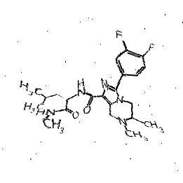 CNC(=O)[C@H](CC(C)C)NC(=O)c1nc(-c2ccc(F)c(F)c2)n2c1CN(C)C(C)C2